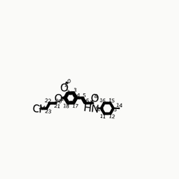 COc1cc(C=CC(=O)N[C@H]2CC[C@H](C)CC2)ccc1OCCCCl